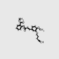 C#CCCCOc1cc(/C=C/C(=O)Nc2ccccc2C(=O)ON)ccc1OC